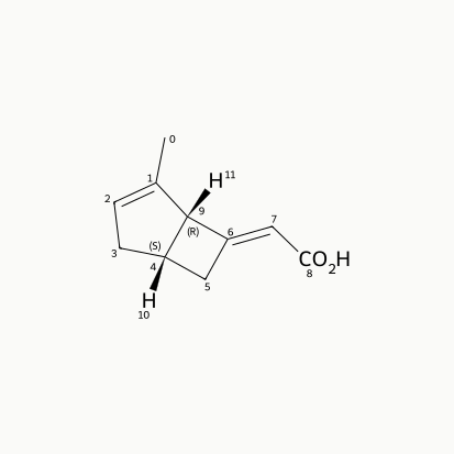 CC1=CC[C@H]2CC(=CC(=O)O)[C@@H]12